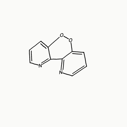 c1cnc2c(c1)OOc1cccnc1-2